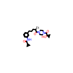 CCC(CCCc1cccc(NC(=O)C2CC2)c1)C(=O)N1CCN(C(=O)C2(O)CC2)CC1